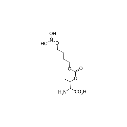 CC(OC(=O)OCCCCON(O)O)C(N)C(=O)O